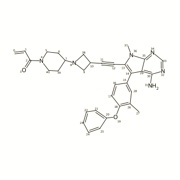 C=CC(=O)N1CCC(N2CC(C#Cc3c(-c4ccc(Oc5ccccc5)c(C)c4)c4c(N)ncnc4n3C)C2)CC1